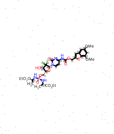 CCOC(=O)[C@H](C)NP(=O)(N[C@@H](C)C(=O)OCC)OC[C@H]1O[C@@H](n2ccc(NC(=O)OCc3cc4cc(OC)cc(OC)c4o3)nc2=O)C(F)(F)[C@@H]1O